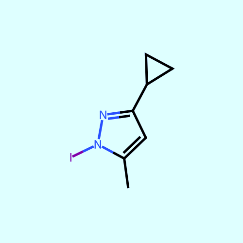 Cc1cc(C2CC2)nn1I